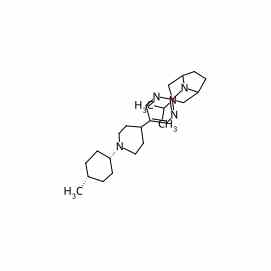 CC(C)N1CC2CCC(C1)N2c1ncc(C2CCN([C@H]3CC[C@@H](C)CC3)CC2)cn1